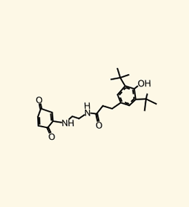 CC(C)(C)c1cc(CCC(=O)NCCNC2=CC(=O)C=CC2=O)cc(C(C)(C)C)c1O